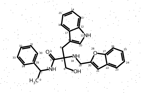 CC(NC(=O)C(CO)(Cc1c[nH]c2ccccc12)NCc1cc2ccccc2o1)c1ccccc1